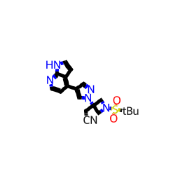 CC(C)(C)S(=O)(=O)N1CC(CC#N)(n2cc(-c3ccnc4[nH]ccc34)cn2)C1